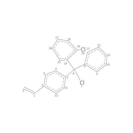 C=Cc1ccc(C(Cl)(c2ccccc2)c2ccccc2Cl)cc1